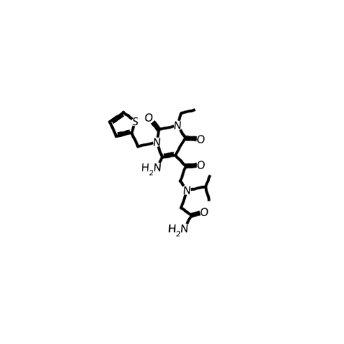 CCn1c(=O)c(C(=O)CN(CC(N)=O)C(C)C)c(N)n(Cc2cccs2)c1=O